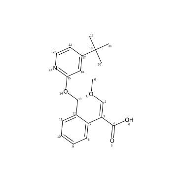 CO/C=C(/C(=O)O)c1ccccc1COc1cc(C(C)(C)C)ccn1